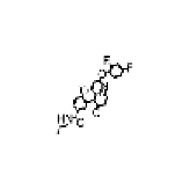 CCCNC(=O)c1ccc(OC)c(-c2c(=O)ccn3nc(Oc4ccc(F)cc4F)ccc23)c1